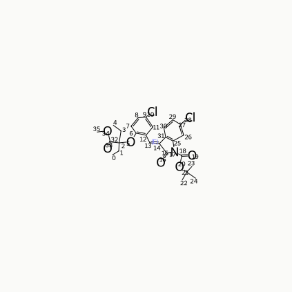 CCC(CC)(Oc1ccc(Cl)cc1/C=C1/C(=O)N(C(=O)OC(C)(C)C)c2cc(Cl)ccc21)C(=O)OC